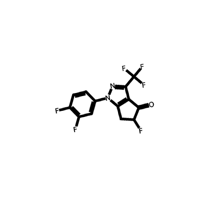 O=C1c2c(C(F)(F)F)nn(-c3ccc(F)c(F)c3)c2CC1F